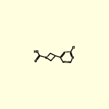 O=C(O)N1CC(c2ccnc(Cl)c2)C1